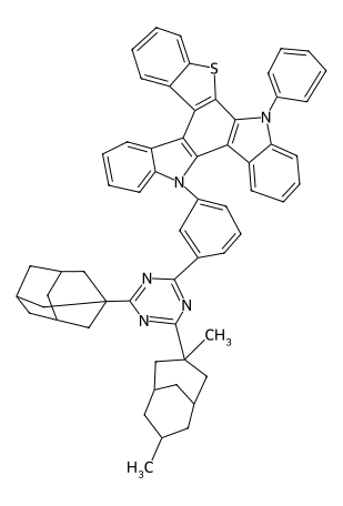 CC1CC2CC(C1)CC(C)(c1nc(-c3cccc(-n4c5ccccc5c5c6c7ccccc7sc6c6c(c7ccccc7n6-c6ccccc6)c54)c3)nc(C34CC5CC(CC(C5)C3)C4)n1)C2